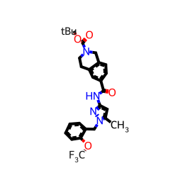 Cc1cc(NC(=O)c2ccc3c(c2)CCN(C(=O)OC(C)(C)C)C3)nn1Cc1ccccc1OC(F)(F)F